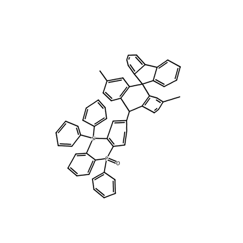 Cc1ccc2c(c1)C1(c3ccccc3-c3ccccc31)c1cc(C)ccc1C2c1ccc2c(c1)[Si](c1ccccc1)(c1ccccc1)c1ccccc1P2(=O)c1ccccc1